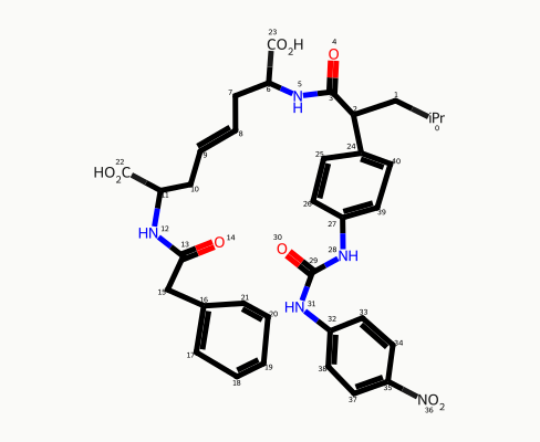 CC(C)CC(C(=O)NC(CC=CCC(NC(=O)Cc1ccccc1)C(=O)O)C(=O)O)c1ccc(NC(=O)Nc2ccc([N+](=O)[O-])cc2)cc1